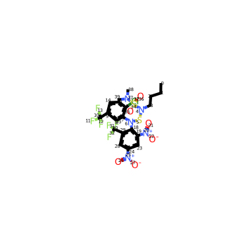 CCCCN(SN(c1cc(C(F)(F)F)ccc1Cl)c1c([N+](=O)[O-])cc([N+](=O)[O-])cc1C(F)(F)F)S(=O)(=O)N(C)C